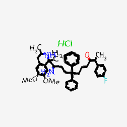 COc1cc2c(cc1OC)C(C)(C(N)CCC(CCCC(=O)C(C)c1ccc(F)cc1)(c1ccccc1)c1ccccc1)NC(C)C2.Cl